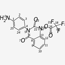 Nc1ccc(-n2c(=O)c3ccccc3n(OC(=O)C(F)(F)F)c2=O)cc1